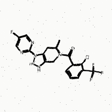 CC1CC2=C(CN1C(=O)c1cccc(C(F)(F)F)c1Cl)NNN2c1ncc(F)cn1